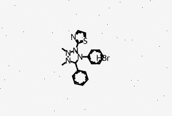 Br.CN1C(c2ccccc2)N(c2ccccc2)N(c2nccs2)N1C